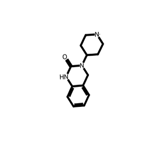 O=C1Nc2ccccc2CN1C1CC[N]CC1